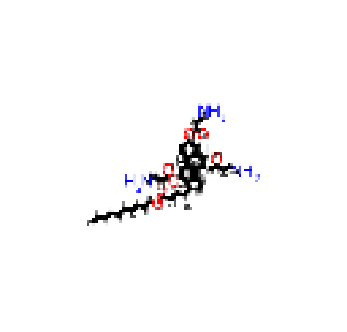 CCCCCCCCCCOC(=O)CC[C@@H](C)[C@H]1CC[C@H]2[C@@H]3[C@H](CC(=O)CCN)C[C@@H]4C[C@H](OC(=O)CCN)CC[C@]4(C)[C@H]3C[C@H](OC(=O)CCN)[C@]12C